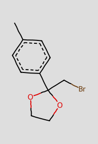 Cc1ccc(C2(CBr)OCCO2)cc1